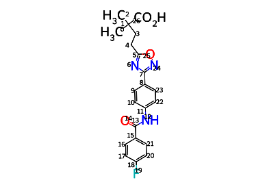 CC(C)(CCc1nc(-c2ccc(NC(=O)c3ccc(F)cc3)cc2)no1)C(=O)O